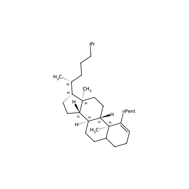 CCCCCC1=CCCC2CC[C@H]3[C@@H]4CC[C@H]([C@H](C)CCCC(C)C)[C@@]4(C)CC[C@@H]3[C@@]12C